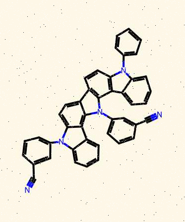 N#Cc1cccc(-n2c3ccccc3c3c2ccc2c4ccc5c(c6ccccc6n5-c5ccccc5)c4n(-c4cccc(C#N)c4)c23)c1